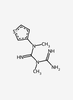 CN(C(=N)N)C(=N)N(C)c1ccsc1